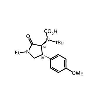 CCN1C[C@@H](c2ccc(OC)cc2)[C@H](N(C(=O)O)C(C)(C)C)C1=O